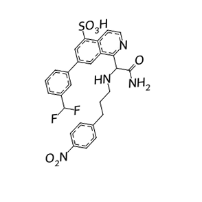 NC(=O)C(NCCCc1ccc([N+](=O)[O-])cc1)c1nccc2c(S(=O)(=O)O)cc(-c3cccc(C(F)F)c3)cc12